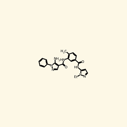 CCn1nccc1NC(=O)c1ccc(C)c(NC(=O)c2cnn(-c3ccccc3)c2N)c1